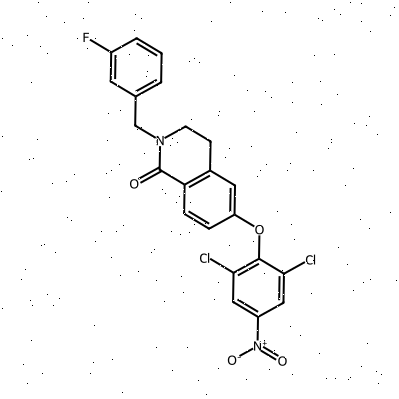 O=C1c2ccc(Oc3c(Cl)cc([N+](=O)[O-])cc3Cl)cc2CCN1Cc1cccc(F)c1